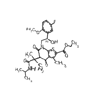 CCOC(=O)c1sc2c(c1C)C(=O)C(C(C)(C)C(=O)NC(C)C)C(=O)N2C[C@H](O)c1cc(F)ccc1OC